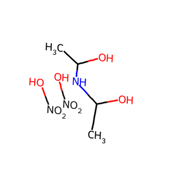 CC(O)NC(C)O.O=[N+]([O-])O.O=[N+]([O-])O